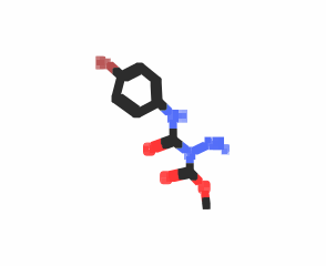 COC(=O)N(N)C(=O)Nc1ccc(Br)cc1